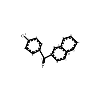 O=C(c1ccc(Cl)cc1)c1ccc2ccccc2c1